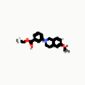 CCOC(=O)c1cccc(N2CCc3cc(OC)ccc3C2)c1